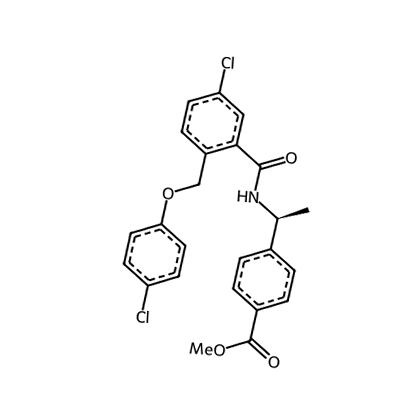 COC(=O)c1ccc([C@H](C)NC(=O)c2cc(Cl)ccc2COc2ccc(Cl)cc2)cc1